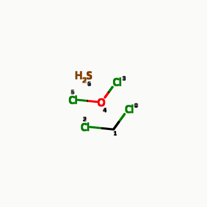 ClCCl.ClOCl.S